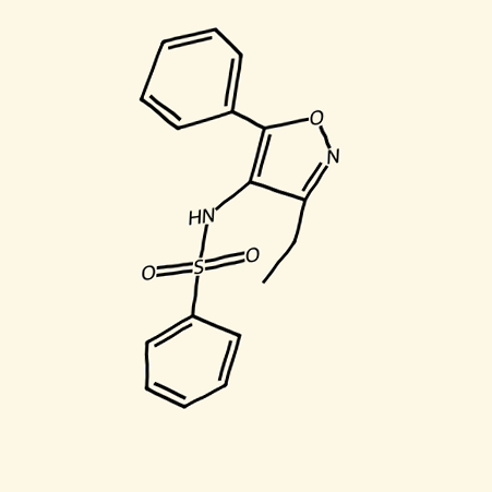 CCc1noc(-c2ccccc2)c1NS(=O)(=O)c1ccccc1